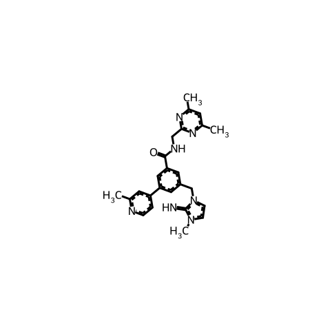 Cc1cc(-c2cc(Cn3ccn(C)c3=N)cc(C(=O)NCc3nc(C)cc(C)n3)c2)ccn1